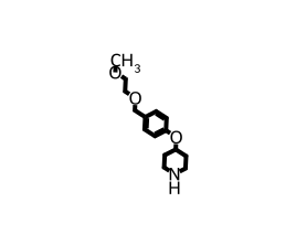 COCCOCc1ccc(OC2CCNCC2)cc1